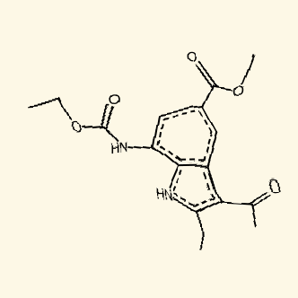 CCOC(=O)Nc1cc(C(=O)OC)cc2c(C(C)=O)c(C)[nH]c12